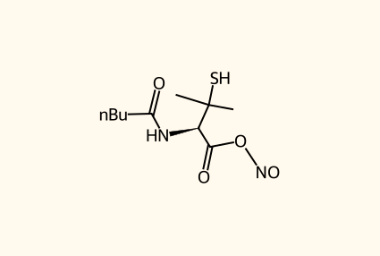 CCCCC(=O)N[C@H](C(=O)ON=O)C(C)(C)S